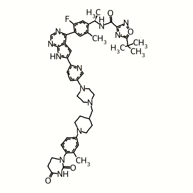 Cc1cc(-c2ncnc3[nH]c(-c4ccc(N5CCN(CC6CCN(c7ccc(N8CCC(=O)NC8=O)c(C)c7)CC6)CC5)cn4)cc23)c(F)cc1[C@@H](C)NC(=O)c1noc(C(C)(C)C)n1